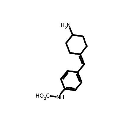 NC1CCC(=Cc2ccc(NC(=O)O)cc2)CC1